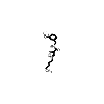 C=CCCCn1cc(C(=O)NCc2cccc(OC(F)(F)F)c2)nn1